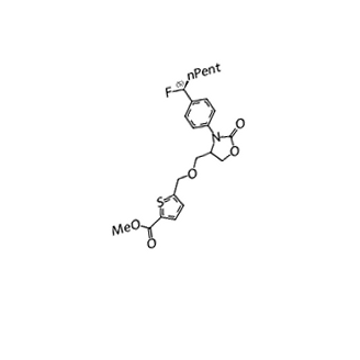 CCCCC[C@H](F)c1ccc(N2C(=O)OCC2COCc2ccc(C(=O)OC)s2)cc1